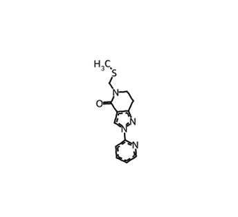 CSCN1CCc2nn(-c3ccccn3)cc2C1=O